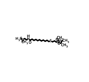 CO[Si]1(CCCSCCCCCCCCCCC(=O)NCCN(C)C)OC(C)C(C)O1